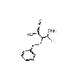 CCOC(=O)C(N)C(OCc1ccccc1)C(O)=C=O